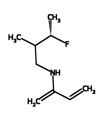 C=CC(=C)NCC(C)[C@H](C)F